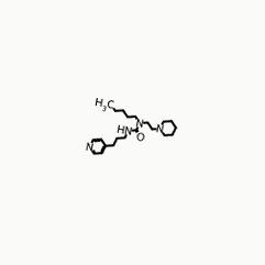 CCCCCN(CCN1CCCCC1)C(=O)NCCCc1ccncc1